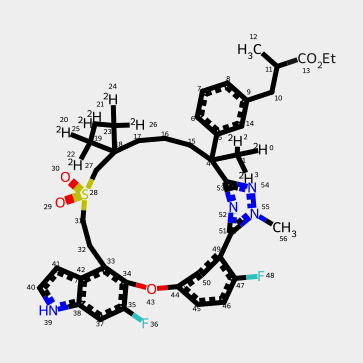 [2H]C([2H])([2H])C1(c2cccc(CC(C)C(=O)OCC)c2)CCCC(C([2H])([2H])[2H])(C([2H])([2H])[2H])CS(=O)(=O)CCc2c(c(F)cc3[nH]ccc23)Oc2ccc(F)c(c2)-c2nc1nn2C